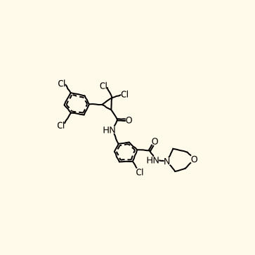 O=C(NN1CCOCC1)c1cc(NC(=O)C2C(c3cc(Cl)cc(Cl)c3)C2(Cl)Cl)ccc1Cl